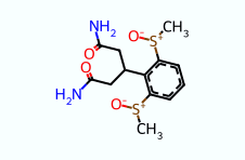 C[S+]([O-])c1cccc([S+](C)[O-])c1C(CC(N)=O)CC(N)=O